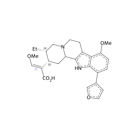 CC[C@@H]1CN2CCc3c([nH]c4c(-c5ccoc5)ccc(OC)c34)C2C[C@@H]1/C(=C\OC)C(=O)O